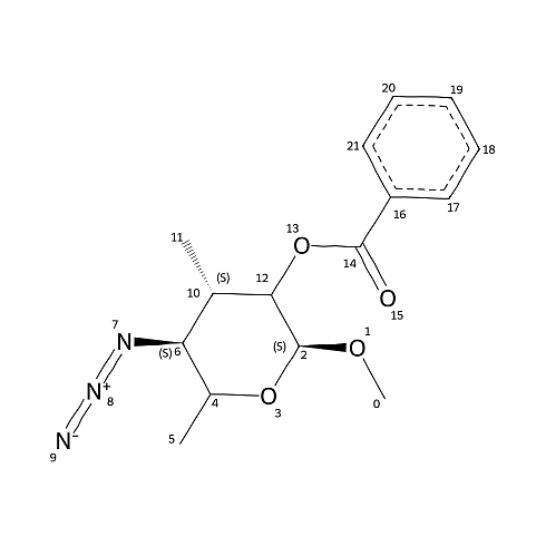 CO[C@H]1OC(C)[C@@H](N=[N+]=[N-])[C@H](C)C1OC(=O)c1ccccc1